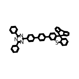 c1ccc(-c2nc(-c3ccccc3)nc(-c3ccc(-c4ccc(-c5ccc6c(c5)Sc5ccccc5C65c6ccccc6-c6ccccc65)cc4)cc3)n2)cc1